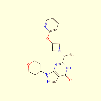 CCC(c1nc2c(cnn2C2CCOCC2)c(=O)[nH]1)N1CC(Oc2ccccn2)C1